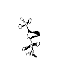 CNS(=O)(=O)c1ccc(S(=O)(=O)Cl)s1